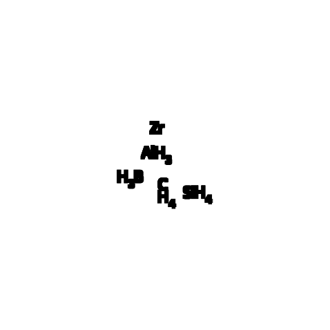 B.C.[AlH3].[SiH4].[Zr]